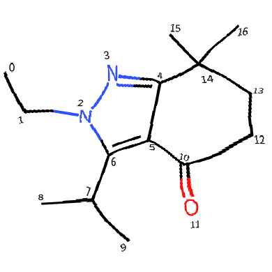 CCn1nc2c(c1C(C)C)C(=O)CCC2(C)C